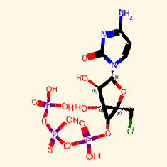 Nc1ccn([C@@H]2O[C@]3(CCl)C(OP(=O)(O)OP(=O)(O)OP(=O)(O)O)[C@]3(O)[C@H]2O)c(=O)n1